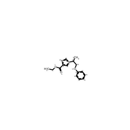 CCOC(=O)c1cn(C(C)COc2ccccc2)cn1